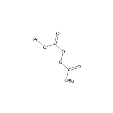 CC(C)COC(=O)OOC(=O)OC(C)C